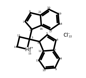 C1=CC([C]2(C3C=Cc4ccccc43)C[CH2][Hf+]2)c2ccccc21.[Cl-]